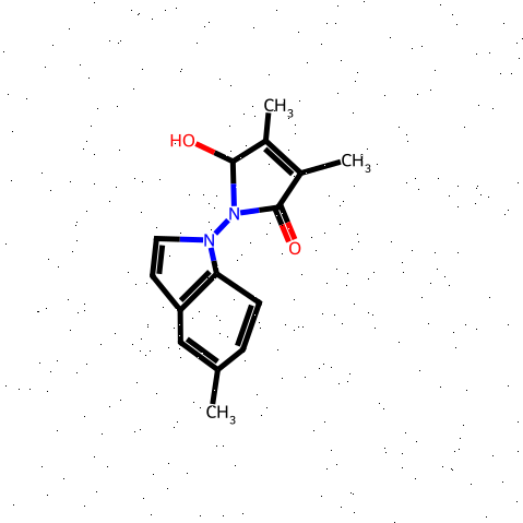 CC1=C(C)C(O)N(n2ccc3cc(C)ccc32)C1=O